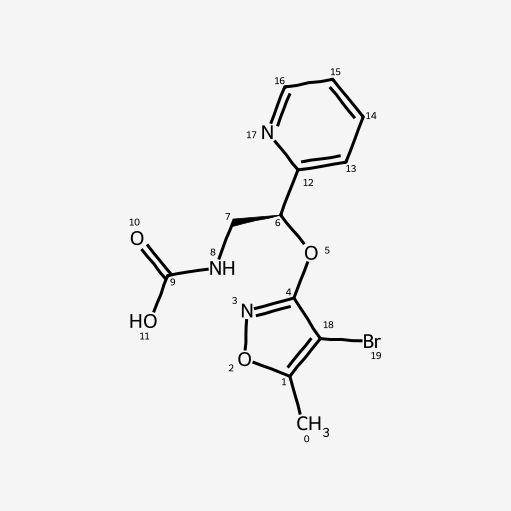 Cc1onc(O[C@@H](CNC(=O)O)c2ccccn2)c1Br